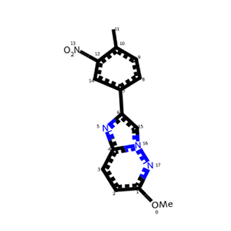 COc1ccc2nc(-c3ccc(C)c([N+](=O)[O-])c3)cn2n1